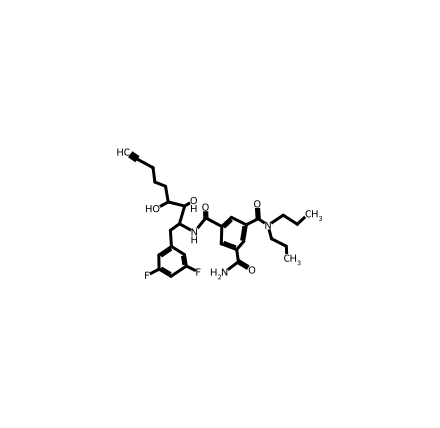 C#CCCCC(O)C(O)C(Cc1cc(F)cc(F)c1)NC(=O)c1cc(C(N)=O)cc(C(=O)N(CCC)CCC)c1